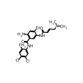 C=C(Nc1cc(Cl)c(Cl)cc1F)c1cc(NC(=O)/C=C/CN(C)C)c(CC)cc1N